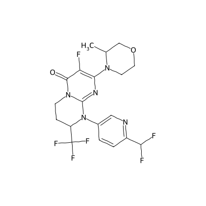 CC1COCCN1c1nc2n(c(=O)c1F)CCC(C(F)(F)F)N2c1ccc(C(F)F)nc1